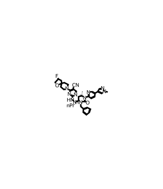 CCCN(CC[C@H](C)N(C(=O)NCc1ccccc1)c1ccc(-c2cnn(C)c2)cn1)Nc1ncc(C#N)c(N2CCC3(CC2)CC(F)CO3)n1